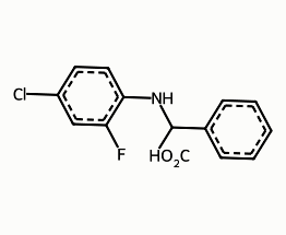 O=C(O)C(Nc1ccc(Cl)cc1F)c1ccccc1